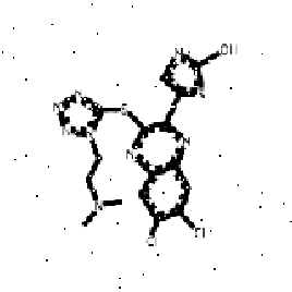 CN(C)CCn1nnnc1Sc1nc2cc(Cl)c(Cl)cc2nc1-c1cnc(O)s1